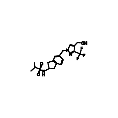 CC(C)S(=O)(=O)NC1Cc2ccc(Cn3cc(CO)c(C(F)(F)F)n3)cc2C1